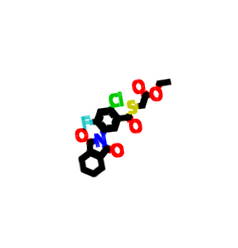 CCOC(=O)CSC(=O)c1cc(N2C(=O)C3=C(CCCC3)C2=O)c(F)cc1Cl